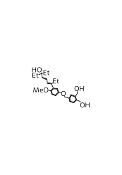 CCC(=CC=CC(O)(CC)CC)c1cc(OCc2ccc(CO)c(CO)c2)ccc1OC